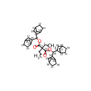 CCC(CC)(C(=O)OC(C1CC2CCC1C2)C1CC2CCC1C2)C(=O)OC(C1CC2CCC1C2)C1CC2CCC1C2